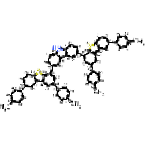 Cc1ccc(-c2ccc3sc4c(-c5ccc6[nH]c7ccc(-c8cc(-c9ccc(C)cc9)cc9c8sc8ccc(-c%10ccc(C)cc%10)cc89)cc7c6c5)cc(-c5ccc(C)cc5)cc4c3c2)cc1